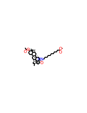 C=C(C)[C@@H]1CC[C@]2(C(=O)NCCCCCCCCCCC(=O)OC)CC[C@]3(C)[C@H](CCC4[C@@]5(C)CC[C@@H](OC(C)=O)C(C)(C)[C@@H]5CC[C@]43C)[C@@H]12